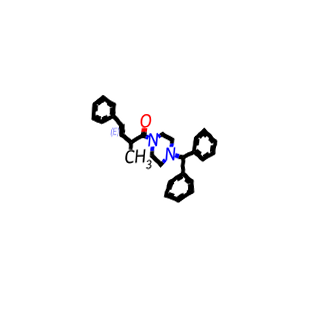 CC(/C=C/c1ccccc1)C(=O)N1CCN(C(c2ccccc2)c2ccccc2)CC1